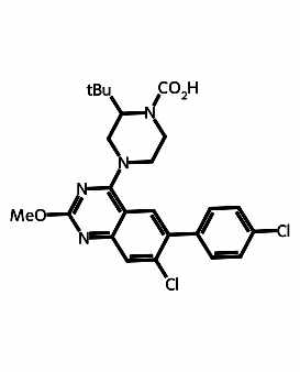 COc1nc(N2CCN(C(=O)O)C(C(C)(C)C)C2)c2cc(-c3ccc(Cl)cc3)c(Cl)cc2n1